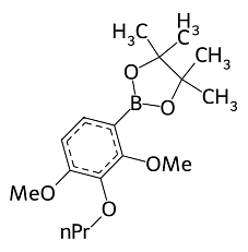 CCCOc1c(OC)ccc(B2OC(C)(C)C(C)(C)O2)c1OC